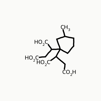 CC1CCCC(C(CC(=O)O)C(=O)O)(C(CC(=O)O)C(=O)O)C1